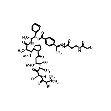 CC[C@H](C)[C@@H]([C@@H](CC(=O)N1CCC[C@H]1[C@H](OC)[C@@H](C)C(=O)N[C@H](C)[C@@H](OC(=O)c1ccc(/C(C)=N/NC(=O)CCNC(=O)CBr)cc1)c1ccccc1)OC)N(C)C(=O)[C@@H](NC(=O)[C@H](C(C)C)N(C)C)C(C)C